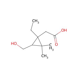 CCC1(CC(=O)O)C(CO)C1(C)C